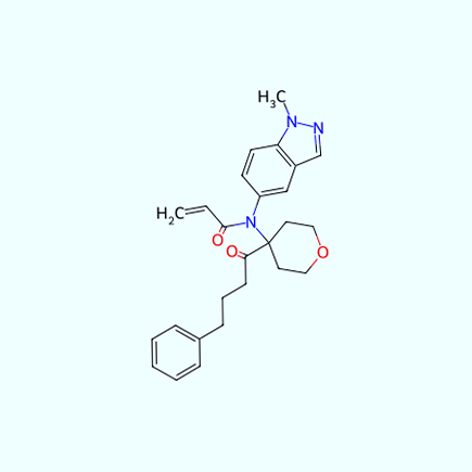 C=CC(=O)N(c1ccc2c(cnn2C)c1)C1(C(=O)CCCc2ccccc2)CCOCC1